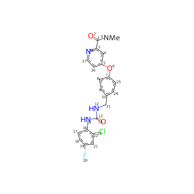 CNC(=O)c1cc(Oc2ccc(CNC(=O)Nc3ccc(F)cc3Cl)cc2)ccn1